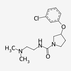 CN(C)CCNC(=O)N1CCC(Oc2cccc(Cl)c2)C1